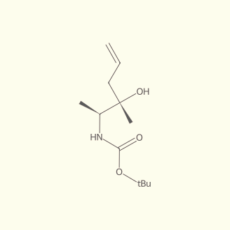 C=CC[C@](C)(O)[C@H](C)NC(=O)OC(C)(C)C